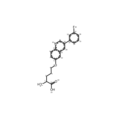 CC(CCCOc1ccc2ncc(-c3cccc(F)c3)cc2c1)C(=O)O